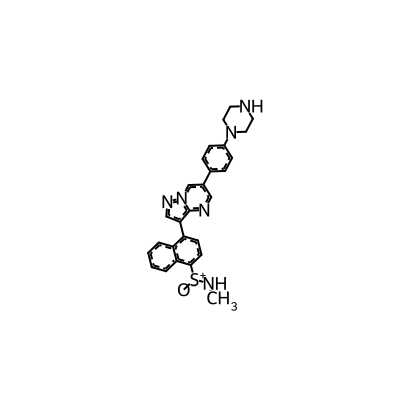 CN[S+]([O-])c1ccc(-c2cnn3cc(-c4ccc(N5CCNCC5)cc4)cnc23)c2ccccc12